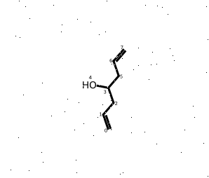 [CH]=CCC(O)CC=C